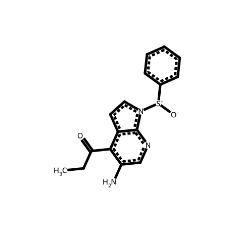 CCC(=O)c1c(N)cnc2c1ccn2[S+]([O-])c1ccccc1